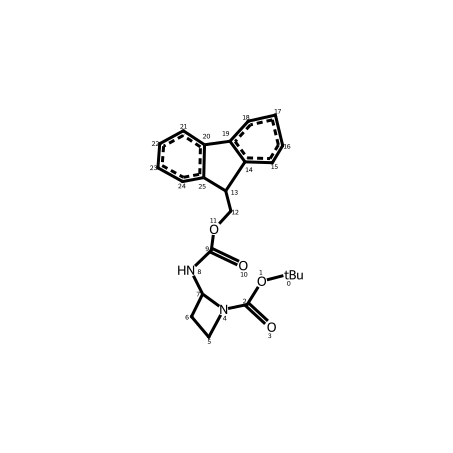 CC(C)(C)OC(=O)N1CCC1NC(=O)OCC1c2ccccc2-c2ccccc21